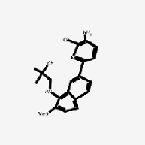 COc1ccc2ccc(-c3ccc(N)c(Cl)n3)cc2c1NCC(C)(C)C#N